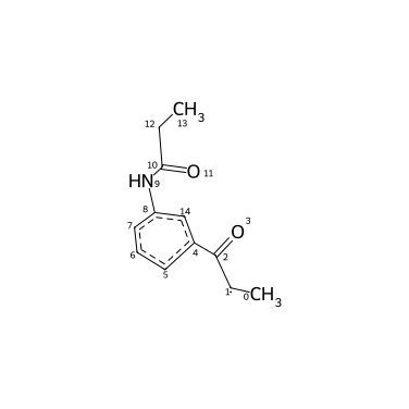 C[CH]C(=O)c1cccc(NC(=O)CC)c1